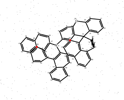 c1ccc(-c2c(N(c3ccc4c(c3)C3(c5ccccc5O4)c4ccccc4-c4cccc5cccc3c45)c3ccc4ccccc4c3)ccc3ccccc23)cc1